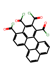 O=C(Cl)c1c(C(=O)Cl)c2c(C(=O)Cl)ccc3c4cccc5cccc(c(c1C(=O)Cl)c23)c54